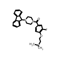 CN(C)CCOc1ccc(C(=O)N2CCN(C3c4ccccc4-c4ccccc43)CC2)cc1F